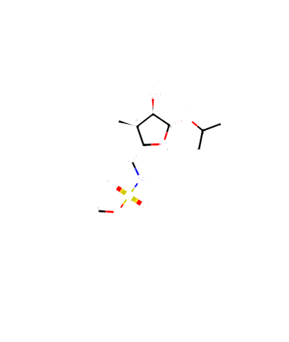 COS(=O)(=O)NC[C@H]1O[C@@H](OC(C)C)[C@H](O)[C@@H]1C